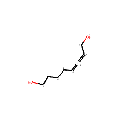 OCC=C=CCCCCO